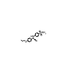 CCCOc1ccc(C(C#N)Nc2ccc(S(N)(=O)=O)cc2)cc1